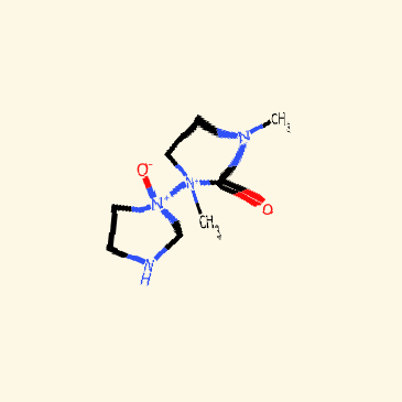 CN1CC[N+](C)([N+]2([O-])CCNC2)C1=O